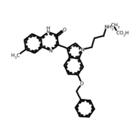 CC(=O)O.Cc1ccc2[nH]c(=O)c(-c3cn(CCCN)c4cc(OCc5ccccc5)ccc34)nc2c1